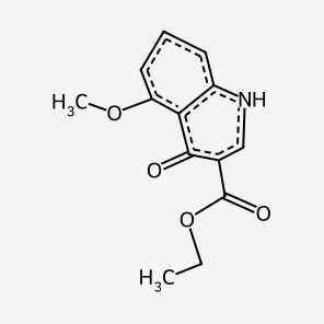 CCOC(=O)c1c[nH]c2cccc(OC)c2c1=O